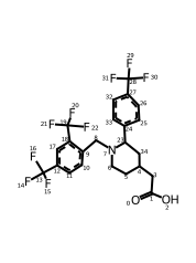 O=C(O)CC1CCN(Cc2ccc(C(F)(F)F)cc2C(F)(F)F)C(c2ccc(C(F)(F)F)cc2)C1